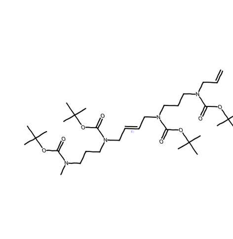 C=CCN(CCCN(C/C=C/CN(CCCN(C)C(=O)OC(C)(C)C)C(=O)OC(C)(C)C)C(=O)OC(C)(C)C)C(=O)OC(C)(C)C